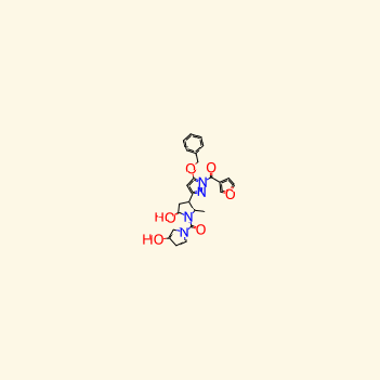 CC1C(c2cc(OCc3ccccc3)n(C(=O)c3ccoc3)n2)CC(O)N1C(=O)N1CCC(O)C1